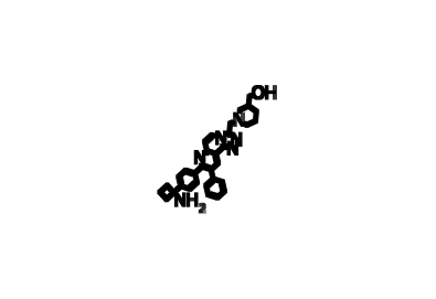 NC1(c2ccc(-c3nc4ccn5c(CN6CCCC(CO)C6)nnc5c4cc3-c3ccccc3)cc2)CCC1